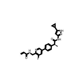 C=CC(=O)NCc1ncc(-c2ccc([C@H](C)C(=O)Nc3cc(C4CC4)[nH]n3)cc2)cc1F